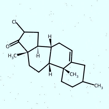 CC1CC[C@@]2(C)C(=CC[C@@H]3[C@H]2CC[C@]2(C)C(=O)C(Cl)C[C@@H]32)C1